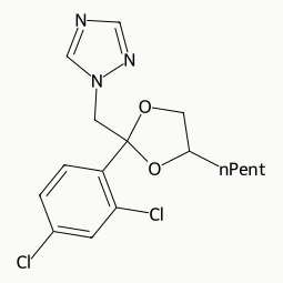 CCCCCC1COC(Cn2cncn2)(c2ccc(Cl)cc2Cl)O1